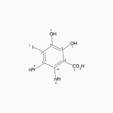 CCCc1c(I)c(O)c(O)c(C(=O)O)c1CCC